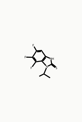 CC(C)n1c(=S)[nH]c2cc(F)c(F)c(F)c21